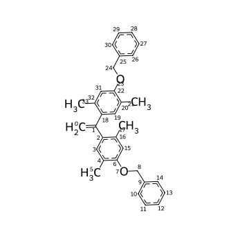 C=C(c1cc(C)c(OCc2ccccc2)cc1C)c1cc(C)c(OCc2ccccc2)cc1C